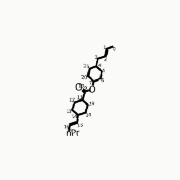 C/C=C/CC1CCC(OC(=O)C2CCC(/C=C/CCC)CC2)CC1